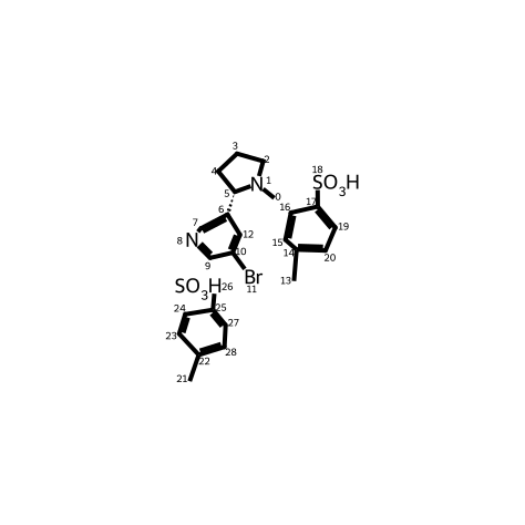 CN1CCC[C@H]1c1cncc(Br)c1.Cc1ccc(S(=O)(=O)O)cc1.Cc1ccc(S(=O)(=O)O)cc1